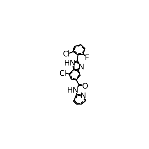 O=C(Nc1ccccn1)c1cc(Cl)c2[nH]c(-c3c(F)cccc3Cl)nc2c1